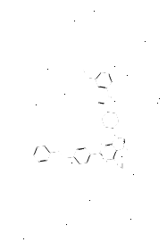 COc1cccc(NC(=O)[C@H]2CC[C@@H](n3cnc4c(N)nc(-c5ccc(OCc6ccccc6)cc5)nc43)CC2)c1